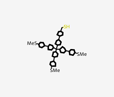 CSc1ccc(-c2ccc(C(c3ccc(-c4ccc(CS)cc4)cc3)(c3ccc(-c4ccc(SC)cc4)cc3)c3ccc(-c4ccc(SC)cc4)cc3)cc2)cc1